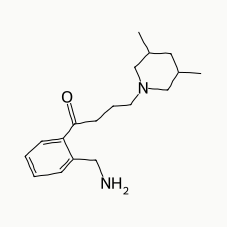 CC1CC(C)CN(CCCC(=O)c2ccccc2CN)C1